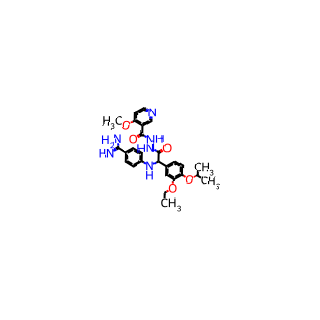 CCOc1cc(C(Nc2ccc(C(=N)N)cc2)C(=O)NNC(=O)c2cnccc2OC)ccc1OC(C)C